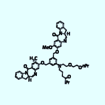 CCCOCCOCCN(CCCC(=O)C(C)C)c1cc(COc2cc3c(cc2C)C(=O)N2c4ccccc4C[C@H]2C=N3)cc(COc2cc3c(cc2OC)C(=O)N2c4ccccc4C[C@H]2C=N3)c1